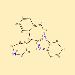 C1=CC2=CCn3c(nc4c3CCC=C4)C(=C3CCNCC3)C2C=C1